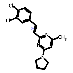 Cc1cc(N2CCCC2)nc(/C=C/c2ccc(Cl)c(Cl)c2)n1